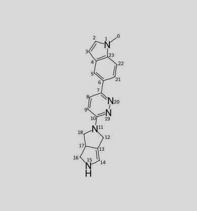 Cn1ccc2cc(-c3ccc(N4CC5=CNCC5C4)nn3)ccc21